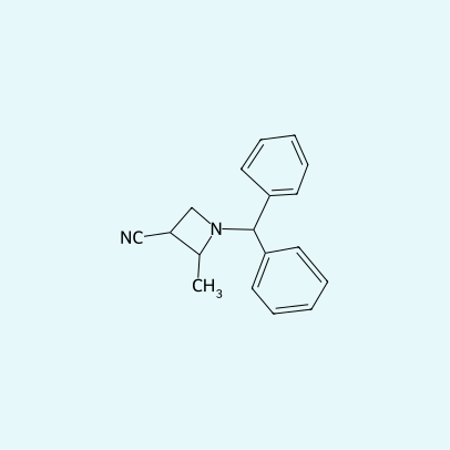 CC1C(C#N)CN1C(c1ccccc1)c1ccccc1